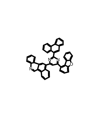 c1ccc2c(c1)cc(-c1nc(-c3cc4c5ccccc5ncc4c4ccccc34)cc(-c3cccc4oc5ccccc5c34)n1)c1ccccc12